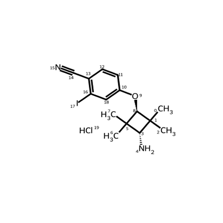 CC1(C)[C@H](N)C(C)(C)[C@H]1Oc1ccc(C#N)c(I)c1.Cl